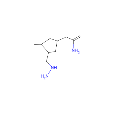 C=C(N)CC1CC(C)C(CNN)C1